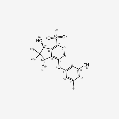 CS(=O)(=O)c1ccc(Oc2cc(F)cc(C#N)c2)c2c1[C@H](O)C(F)(F)[C@H]2O